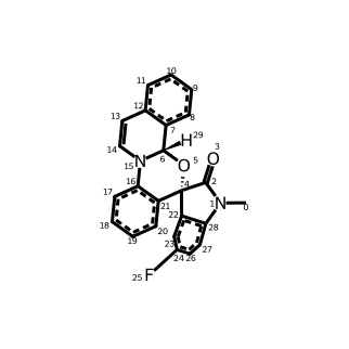 CN1C(=O)[C@@]2(O[C@H]3c4ccccc4C=CN3c3ccccc32)c2cc(F)ccc21